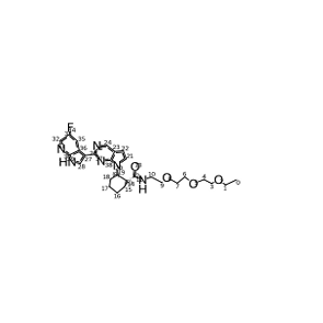 CCOCCOCCOCCNC(=O)[C@@H]1CCCC[C@H]1n1ccc2cnc(-c3c[nH]c4ncc(F)cc34)nc21